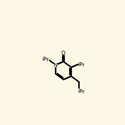 CC(C)Cc1ccn(C(C)C)c(=O)c1C(C)C